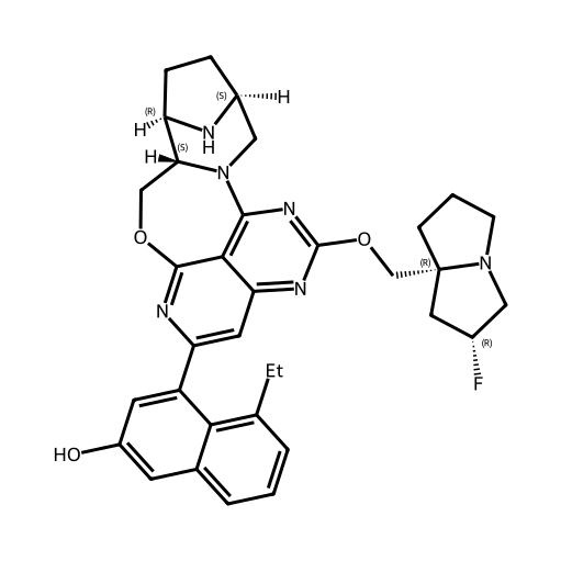 CCc1cccc2cc(O)cc(-c3cc4nc(OC[C@]56CCCN5C[C@H](F)C6)nc5c4c(n3)OC[C@@H]3[C@H]4CC[C@@H](CN53)N4)c12